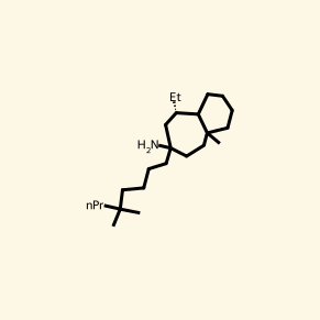 CCCC(C)(C)CCCCC1(N)CCC2(C)CCCCC2[C@@H](CC)C1